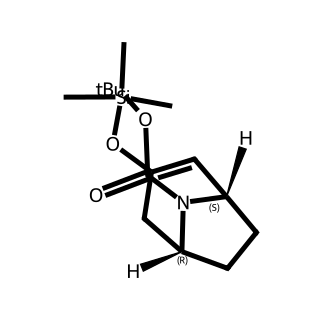 CC(C)(C)OC(=O)N1[C@@H]2CC[C@H]1C=C(O[Si](C)(C)C)C2